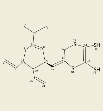 C=CC1CC(C(C)C)=C[C@@H](/C=C2\CSC(S)=C(S)S2)C1C=C